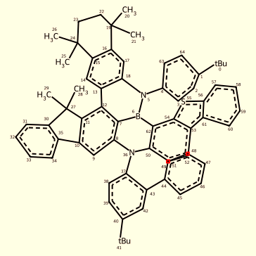 CC(C)(C)c1ccc(N2B3c4c(cc5c(c4-c4cc6c(cc42)C(C)(C)CCC6(C)C)C(C)(C)c2ccccc2-5)N(c2ccc(C(C)(C)C)cc2-c2ccccc2)c2ccc4c(sc5ccccc54)c23)cc1